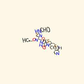 C#CCON=C(C(=O)NC1C(=O)N2C(C(=O)O)=C(CS/C=C\c3cccnc3)CS[C@@H]12)c1csc(NC=O)n1